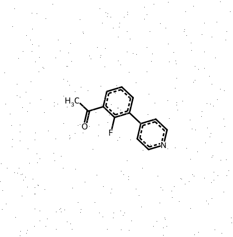 CC(=O)c1cccc(-c2ccncc2)c1F